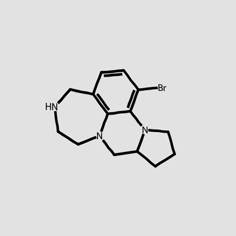 Brc1ccc2c3c1N1CCCC1CN3CCNC2